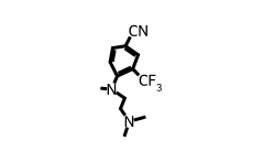 CN(C)CCN(C)c1ccc(C#N)cc1C(F)(F)F